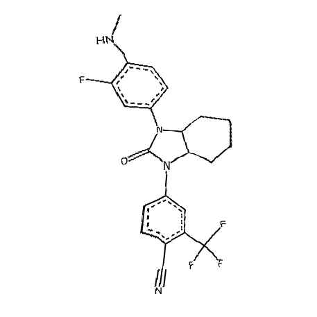 CNc1ccc(N2C(=O)N(c3ccc(C#N)c(C(F)(F)F)c3)C3CCCCC32)cc1F